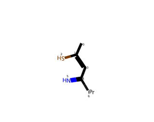 C/C(S)=C/C(=N)C(C)C